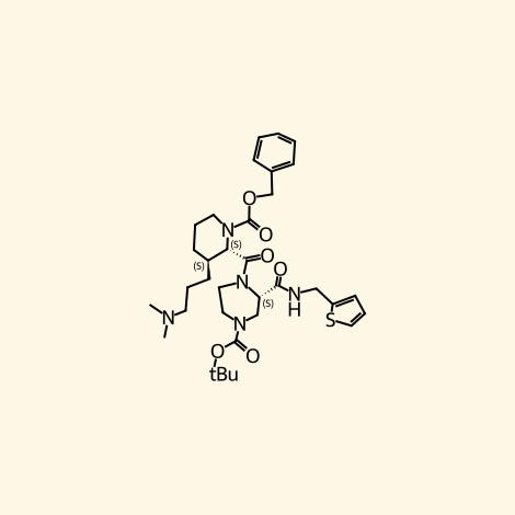 CN(C)CCC[C@H]1CCCN(C(=O)OCc2ccccc2)[C@@H]1C(=O)N1CCN(C(=O)OC(C)(C)C)C[C@H]1C(=O)NCc1cccs1